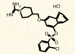 Cl.N=C(N)N1CCC(COc2cc(OS(=O)(=O)c3ccccc3Cl)c3ccccc3c2)CC1